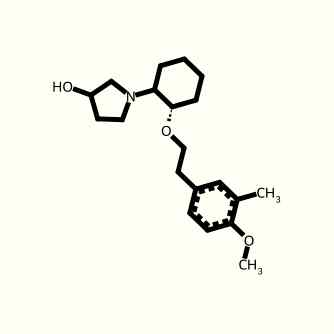 COc1ccc(CCO[C@H]2CCCCC2N2CCC(O)C2)cc1C